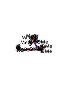 COCC[N+]1=C(/C=C/C=C/C=C2/N(CCOCCOCCOCCOCCOCCC(=O)ON3C(=O)CCC3=O)c3ccc4c(SOC)cc(S(=O)(=O)OC)cc4c3C2(C)C)C(C)(CCCS(=O)(=O)OC)c2c1ccc1c(S(=O)OC)cc(S(=O)(=O)OC)cc21